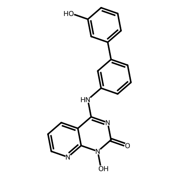 O=c1nc(Nc2cccc(-c3cccc(O)c3)c2)c2cccnc2n1O